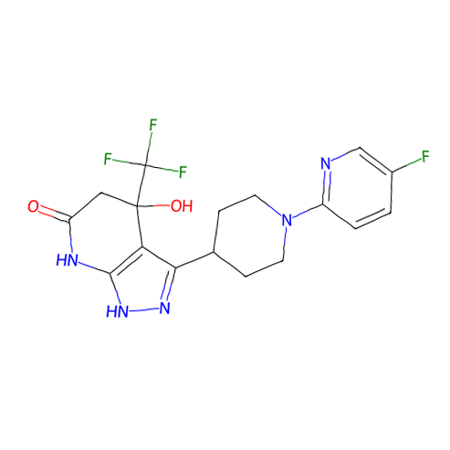 O=C1CC(O)(C(F)(F)F)c2c(C3CCN(c4ccc(F)cn4)CC3)n[nH]c2N1